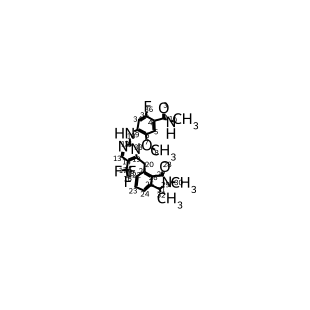 CNC(=O)c1cc(OC)c(Nc2ncc(C(F)(F)F)c(Cc3cccc4c3C(=O)N(C)C4C)n2)cc1F